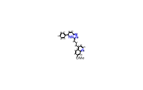 COc1ccc2c(CCCc3nnc4ccc(-c5ccccc5)nn34)ccnc2c1